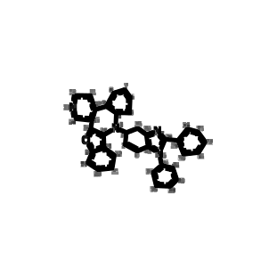 C1=CC(N2c3ccccc3-c3ccncc3-c3oc4ccccc4c32)Cc2nc(-c3ccccc3)n(-c3ccccc3)c21